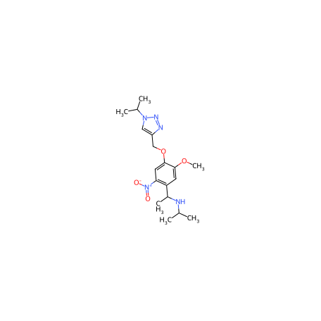 COc1cc(C(C)NC(C)C)c([N+](=O)[O-])cc1OCc1cn(C(C)C)nn1